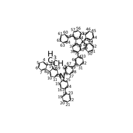 CC1(C)c2ccccc2-c2ccc(N(c3ccc(-c4ccccc4)cc3)c3ccc(-c4cccc(-c5ccc6c(c5)C(c5ccccc5)(c5ccccc5)c5cccc(-c7ccccc7)c5-6)c4)cc3)cc21